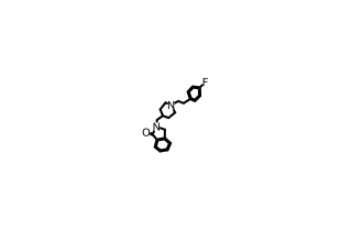 O=C1c2ccccc2CN1CC1CCN(CCc2ccc(F)cc2)CC1